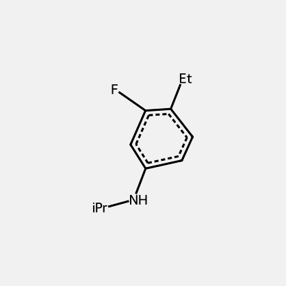 CCc1ccc(NC(C)C)cc1F